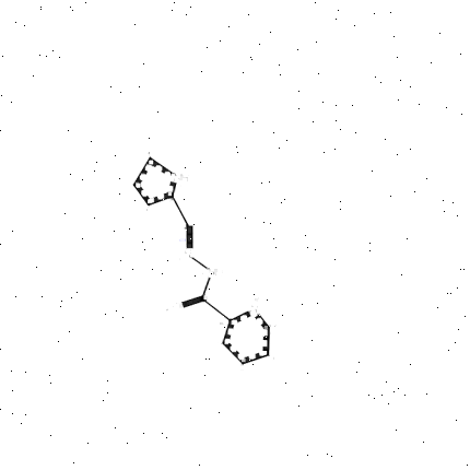 O=C(N/N=C/c1ccc[nH]1)c1ccccn1